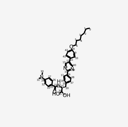 CCCCCCCOc1ccc(-c2cnc(-c3ccc(C[C@H](NC(=O)c4ccc(N(C)C)cc4)C(O)O)cc3)nc2)cc1